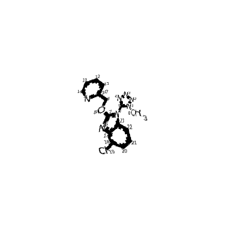 Cn1nnnc1-n1c(OCc2ccccn2)nc2c(Cl)cccc21